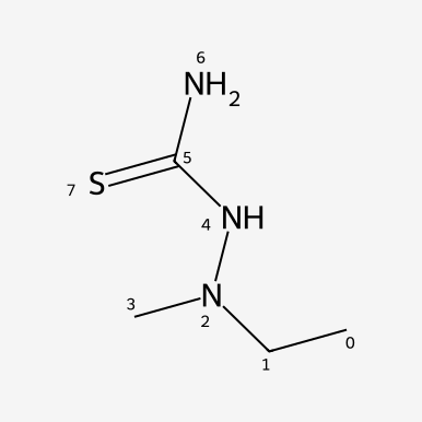 CCN(C)NC(N)=S